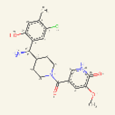 COc1cc(C(=O)N2CCC([C@@H](N)c3cc(Cl)c(C)cc3O)CC2)c[nH]c1=O